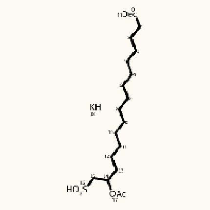 CCCCCCCCCCCCCCCCCCCCCCCC(CS(=O)(=O)O)OC(C)=O.[KH]